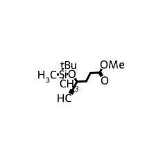 C#CC(CCC(=O)OC)O[Si](C)(C)C(C)(C)C